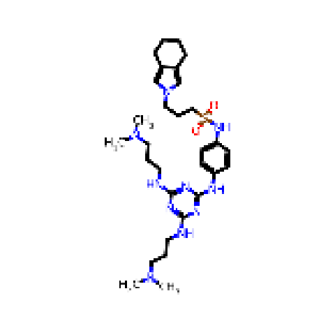 CN(C)CCCNc1nc(NCCCN(C)C)nc(Nc2ccc(NS(=O)(=O)CCCn3cc4c(c3)CCCC4)cc2)n1